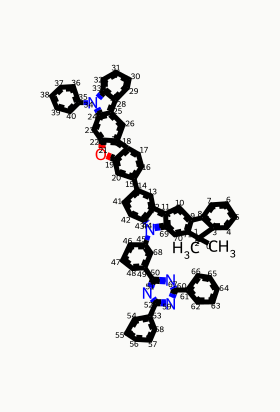 CC1(C)c2ccccc2-c2cc3c4cc(-c5ccc6c(c5)oc5cc7c(cc56)c5ccccc5n7-c5ccccc5)ccc4n(-c4cccc(-c5nc(-c6ccccc6)nc(-c6ccccc6)n5)c4)c3cc21